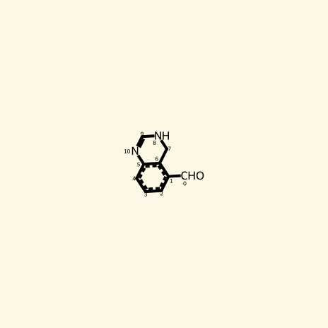 O=Cc1cccc2c1CNC=N2